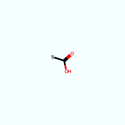 O=[C](O)[Ti]